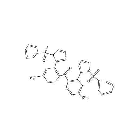 Cc1ccc(C(=O)c2ccc(C)cc2-c2cccn2S(=O)(=O)c2ccccc2)c(-c2cccn2S(=O)(=O)c2ccccc2)c1